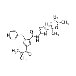 CC(C)OC(C)(C)c1csc(NC(=O)c2cc(C(=O)N(C)C)cn2Cc2ccncc2)n1